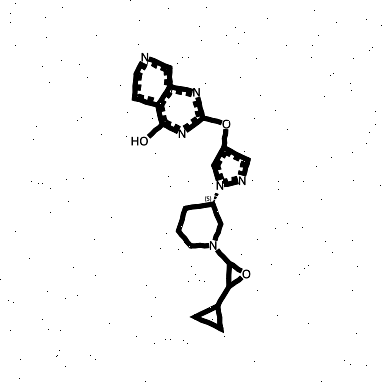 Oc1nc(Oc2cnn([C@H]3CCCN(C4OC4C4CC4)C3)c2)nc2cnccc12